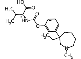 CCC1(c2cccc(OC(=O)N[C@H](C(=O)O)C(C)C)c2)CCCCN(C)C1